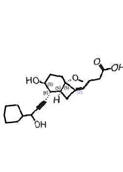 CO[C@@]12CC[C@H](O)[C@@H](C#CC(O)C3CCCCC3)[C@@H]1C/C2=C/CCC(=O)O